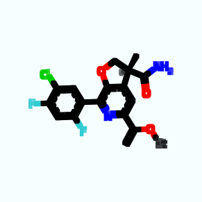 C=C(OCC)c1cc2c(c(-c3cc(Cl)c(F)cc3F)n1)OC[C@]2(C)C(N)=O